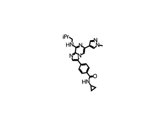 CC(C)CNc1nc(-c2cnn(C)c2)cn2c(-c3ccc(C(=O)NC4CC4)cc3)cnc12